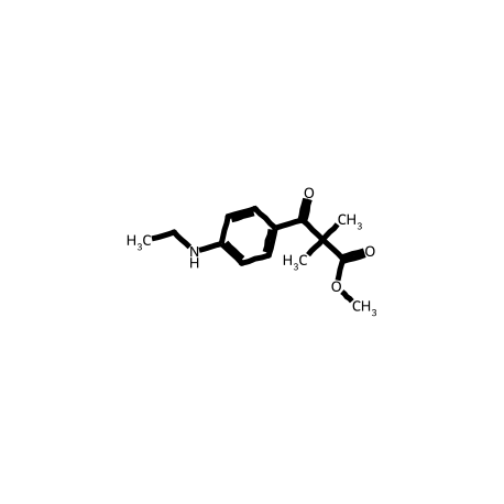 CCNc1ccc(C(=O)C(C)(C)C(=O)OC)cc1